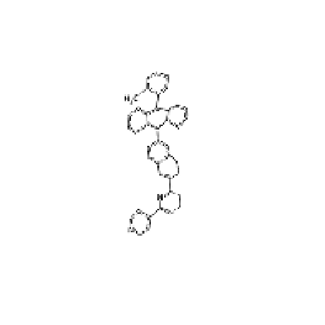 Cc1ccccc1-c1c2ccccc2c(-c2ccc3c(c2)CCC(C2=NC(c4ccncc4)=CCC2)=C3)c2ccccc12